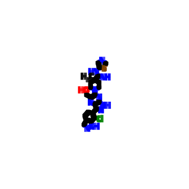 CC1(C(=N)Nc2cncs2)CCN(c2nc3[nH]nc(-c4ccc5cn[nH]c5c4Cl)c3nc2CO)CC1